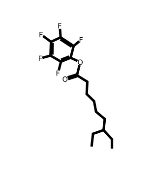 CCC(CC)CCCCCC(=O)Oc1c(F)c(F)c(F)c(F)c1F